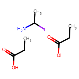 CC(N)I.CCC(=O)O.CCC(=O)O